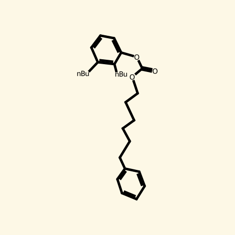 CCCCc1cccc(OC(=O)OCCCCCCc2ccccc2)c1CCCC